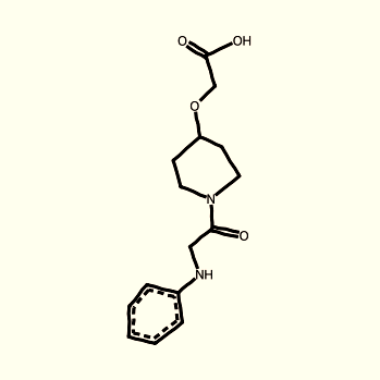 O=C(O)COC1CCN(C(=O)CNc2ccccc2)CC1